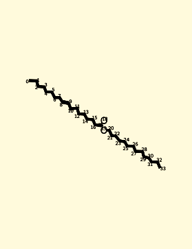 CCCCCCCCC=CCCCCCCCC(=O)OCCCCCCCCCCCCCC